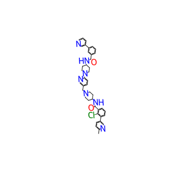 Cc1ccc(-c2cccc(C(=O)NC3CCN(Cc4ccc(N5CCC(NC(=O)c6cccc(-c7cccnc7)c6)CC5)nc4)CC3)c2Cl)cn1